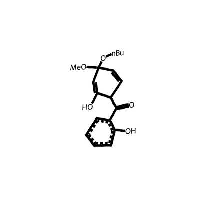 CCCCOC1(OC)C=CC(C(=O)c2ccccc2O)C(O)=C1